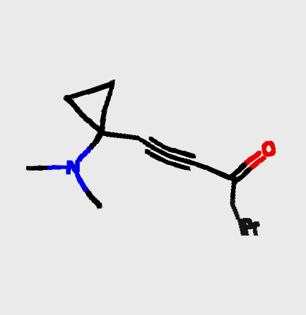 CC(C)C(=O)C#CC1(N(C)C)CC1